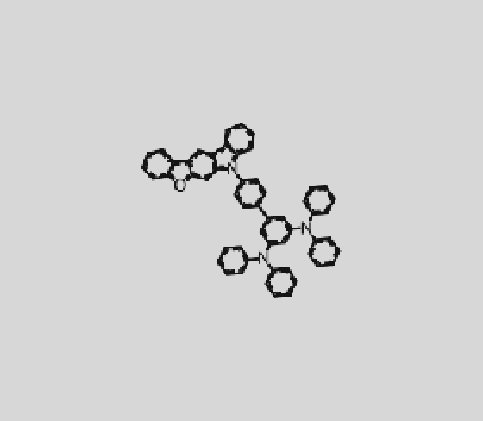 c1ccc(N(c2ccccc2)c2cc(-c3ccc(-n4c5ccccc5c5cc6c(cc54)oc4ccccc46)cc3)cc(N(c3ccccc3)c3ccccc3)c2)cc1